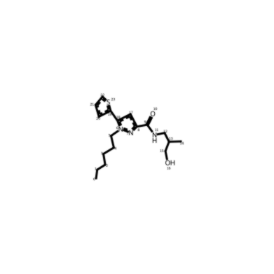 CCCCCCn1nc(C(=O)NCC(C)CO)cc1-c1cccs1